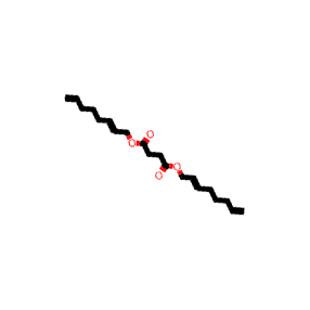 C=CCCC/C=C/COC(=O)CCC(=O)OC/C=C/CCCC=C